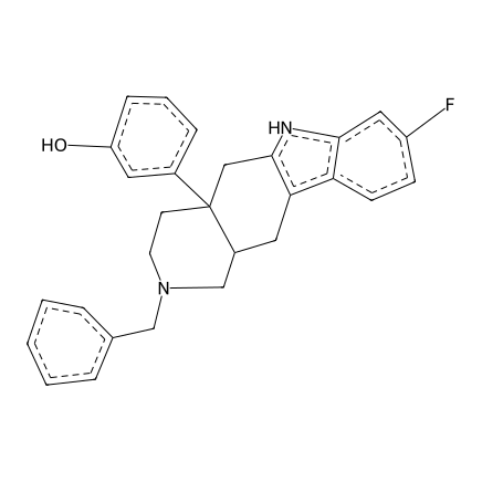 Oc1cccc(C23CCN(Cc4ccccc4)CC2Cc2c([nH]c4cc(F)ccc24)C3)c1